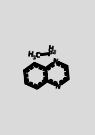 CP.c1ccc2nccnc2c1